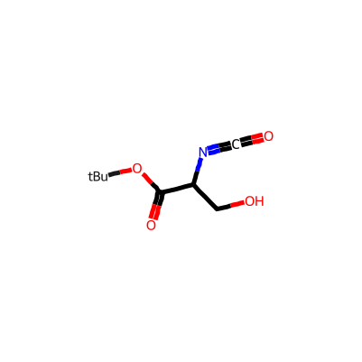 CC(C)(C)OC(=O)C(CO)N=C=O